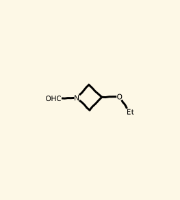 CCOC1CN(C=O)C1